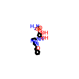 NS(=O)(=O)OC[C@H]1C[C@@H](Nc2ccnc3cc(-c4cc5ccccc5o4)nn23)[C@H](O)[C@@H]1O